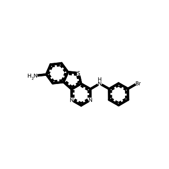 Nc1ccc2sc3c(Nc4cccc(Br)c4)ncnc3c2c1